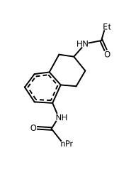 CCCC(=O)Nc1cccc2c1CCC(NC(=O)CC)C2